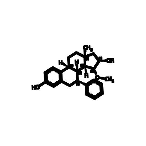 CO[C@@H]1[C@H]2[C@H]3[C@H](CC[C@]2(C)C[C@@H]1O)c1ccc(O)cc1C[C@H]3c1ccccc1